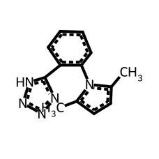 Cc1ccc(C)n1-c1ccccc1-c1nnn[nH]1